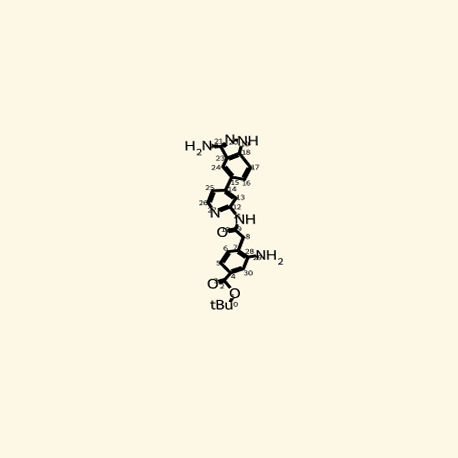 CC(C)(C)OC(=O)c1ccc(CC(=O)Nc2cc(-c3ccc4[nH]nc(N)c4c3)ccn2)c(N)c1